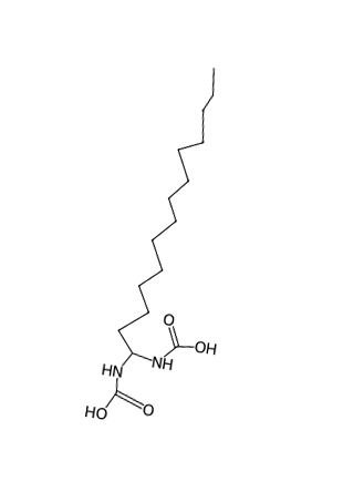 CCCCCCCCCCCCCC(NC(=O)O)NC(=O)O